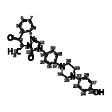 CC(C(=O)c1ccccc1)n1ncn(-c2ccc(N3CCN(c4ccc(O)cc4)CC3)cc2)c1=O